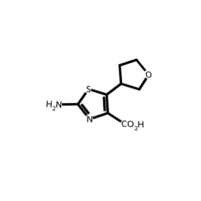 Nc1nc(C(=O)O)c(C2CCOC2)s1